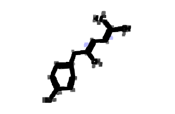 C/C(O)=C\C=C(/C)Cc1ccc(O)cc1